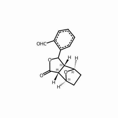 O=Cc1ccccc1C1OC(=O)[C@@H]2[C@H]1[C@H]1CC[C@@H]2O1